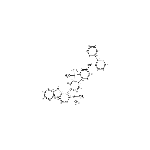 CC1(C)c2cc(Nc3ccccc3-c3ccccc3)ccc2-c2cc3c(cc21)-c1c(ccc2c1oc1ccccc12)C3(C)C